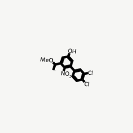 [CH2]C(OC)c1cc(O)cc(-c2ccc(Cl)c(Cl)c2)c1[N+](=O)[O-]